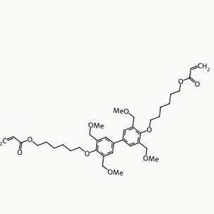 C=CC(=O)OCCCCCCOc1c(COC)cc(-c2cc(COC)c(OCCCCCCOC(=O)C=C)c(COC)c2)cc1COC